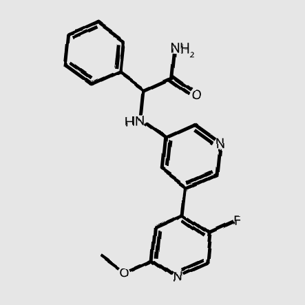 COc1cc(-c2cncc(NC(C(N)=O)c3ccccc3)c2)c(F)cn1